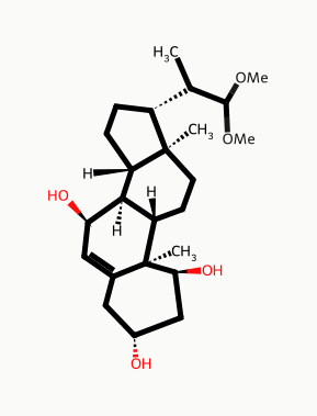 COC(OC)C(C)[C@H]1CC[C@H]2[C@@H]3[C@H](O)C=C4C[C@@H](O)C[C@H](O)[C@]4(C)[C@H]3CC[C@]12C